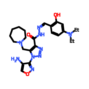 CCN(CC)c1ccc(/C=N\NC(=O)c2nnn(-c3nocc3N)c2CN2CCCCCC2)c(O)c1